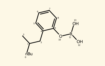 CCCCC(C)Cc1ccccc1OB(O)O